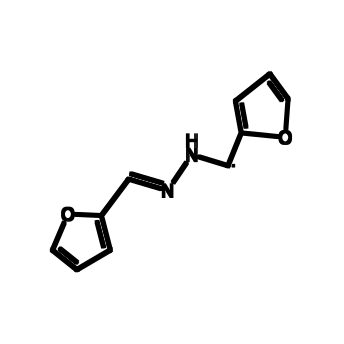 [CH](NN=Cc1ccco1)c1ccco1